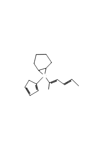 CC=CC=[C](C)[Zr]1([C]2=CC=CC2)[CH]2CCCC[CH]21